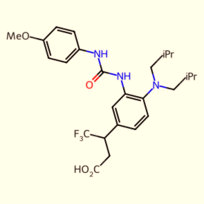 COc1ccc(NC(=O)Nc2cc(C(CC(=O)O)C(F)(F)F)ccc2N(CC(C)C)CC(C)C)cc1